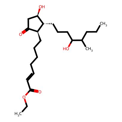 CCCC(C)C(O)CCC[C@H]1[C@H](O)CC(=O)[C@@H]1CCCCC=CC(=O)OCC